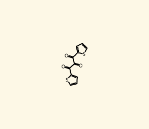 O=C(C(=O)c1cccs1)C(=O)c1cccs1